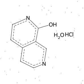 Cl.O.Oc1nccc2ccncc12